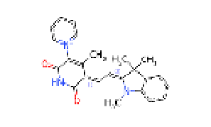 CC1=C([n+]2ccccc2)C(=O)NC(=O)/C1=C/C=C1\N(C)c2ccccc2C1(C)C